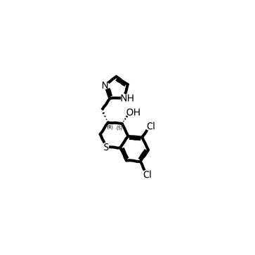 O[C@@H]1c2c(Cl)cc(Cl)cc2SC[C@@H]1Cc1ncc[nH]1